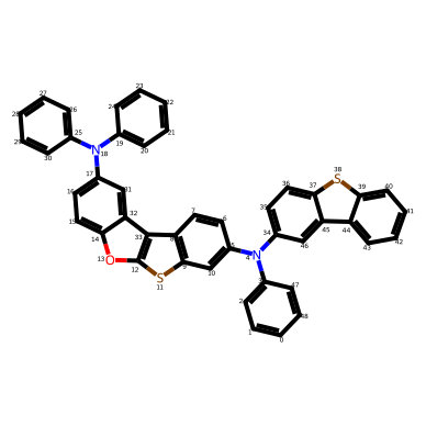 c1ccc(N(c2ccc3c(c2)sc2oc4ccc(N(c5ccccc5)c5ccccc5)cc4c23)c2ccc3sc4ccccc4c3c2)cc1